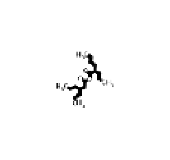 CCCCC(CCC)C(=O)OC(=O)CC(CCC)CCC